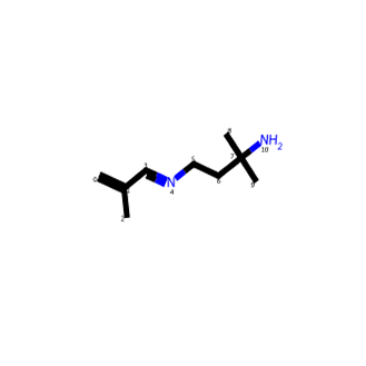 C=C(C)C=NCCC(C)(C)N